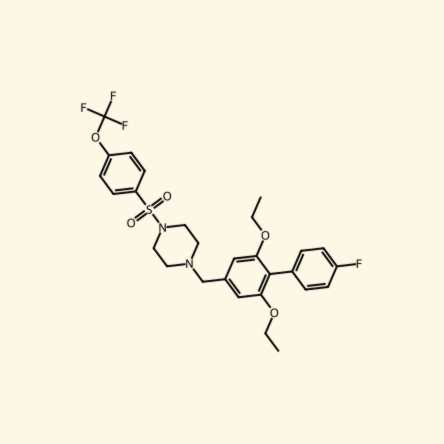 CCOc1cc(CN2CCN(S(=O)(=O)c3ccc(OC(F)(F)F)cc3)CC2)cc(OCC)c1-c1ccc(F)cc1